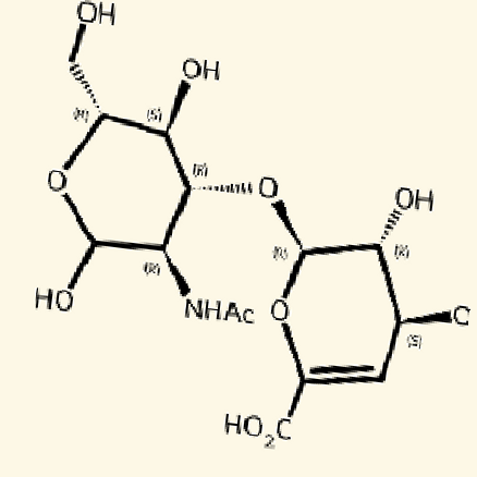 CC(=O)N[C@H]1C(O)O[C@H](CO)[C@@H](O)[C@@H]1O[C@@H]1OC(C(=O)O)=C[C@H](O)[C@H]1O